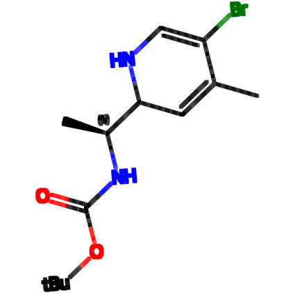 CC1=CC([C@H](C)NC(=O)OC(C)(C)C)NC=C1Br